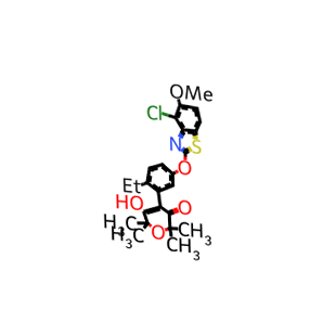 CCc1ccc(Oc2nc3c(Cl)c(OC)ccc3s2)cc1C1=C(O)C(C)(C)OC(C)(C)C1=O